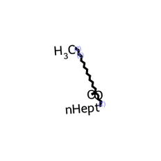 C/C=C\C=C\CCCCCCCCCCC(=O)OC/C=C\CCCCCCC